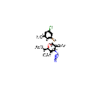 CC(=O)OCC1O[C@H](Sc2cc(Cl)cc(C#N)c2)C(OC(C)=O)[C@@H](N=[N+]=[N-])[C@H]1OC(C)=O